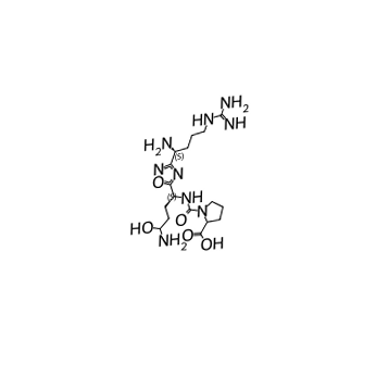 N=C(N)NCCC[C@H](N)c1noc([C@H](CCC(N)O)NC(=O)N2CCCC2C(=O)O)n1